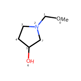 COCN1CCC(O)C1